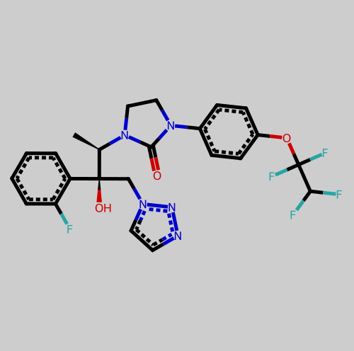 C[C@@H](N1CCN(c2ccc(OC(F)(F)C(F)F)cc2)C1=O)[C@](O)(Cn1ccnn1)c1ccccc1F